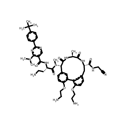 C[C@@H]1NC(=O)[C@@H](N(C)C(=O)[C@H](CCN)NC(=O)c2cnc(-c3ccc(C(C)(C)C)cc3)nc2N(C)C)c2ccc(OCCN)c(c2)-c2cc(ccc2OCCN)C[C@@H](C(=O)NCC#N)NC1=O